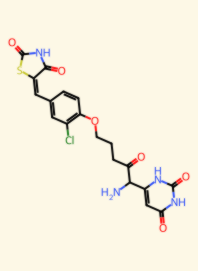 NC(C(=O)CCCOc1ccc(C=C2SC(=O)NC2=O)cc1Cl)c1cc(=O)[nH]c(=O)[nH]1